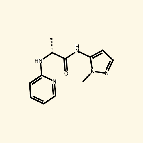 C[C@@H](Nc1ccccn1)C(=O)Nc1ccnn1C